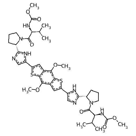 COC(=O)N[C@H](C(=O)N1CCC[C@H]1c1ncc(-c2cc3c(OC)c4sc(-c5cnc([C@@H]6CCCN6C(=O)[C@@H](NC(=O)OC)C(C)C)[nH]5)cc4c(OC)c3s2)[nH]1)C(C)C